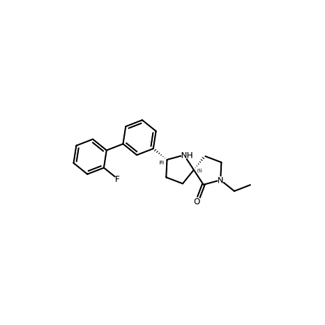 CCN1CC[C@@]2(CC[C@H](c3cccc(-c4ccccc4F)c3)N2)C1=O